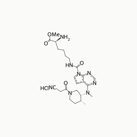 COC(=O)[C@@H](N)CCCCNC(=O)n1ccc2c(N(C)[C@H]3CN(C(=O)CC#N)CC[C@H]3C)ncnc21.Cl